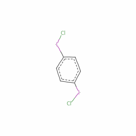 Cl[I]c1ccc([I]Cl)cc1